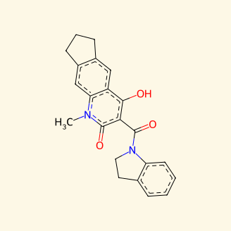 Cn1c(=O)c(C(=O)N2CCc3ccccc32)c(O)c2cc3c(cc21)CCC3